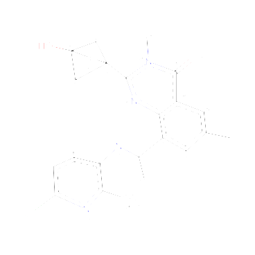 Cc1cc(C(C)Nc2ccc(Cl)nc2C(=O)O)c2nc(C34CC(O)(C3)C4)n(C)c(=O)c2c1